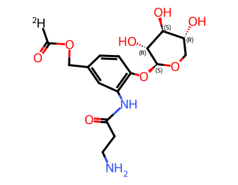 [2H]C(=O)OCc1ccc(O[C@@H]2OC[C@@H](O)[C@H](O)[C@H]2O)c(NC(=O)CCN)c1